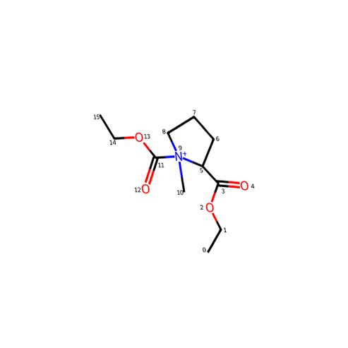 CCOC(=O)C1CCC[N+]1(C)C(=O)OCC